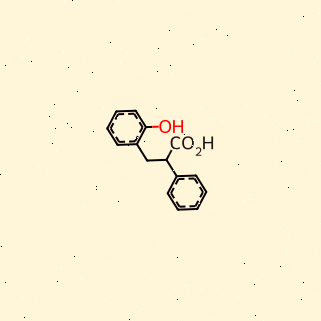 O=C(O)C(Cc1ccccc1O)c1ccccc1